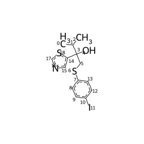 CC(C)C(O)(CSc1ccc(I)cc1)c1cncs1